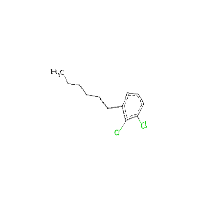 CCCCCCc1cccc(Cl)c1Cl